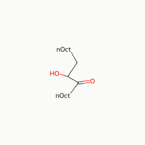 CCCCCCCCCC(O)C(=O)CCCCCCCC